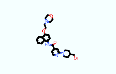 O=C(Nc1ccc(OCCN2CCOCC2)c2ccccc12)c1ccnc(N2CCC(CO)CC2)c1